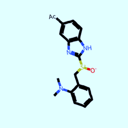 CC(=O)c1ccc2[nH]c([S+]([O-])Cc3ccccc3N(C)C)nc2c1